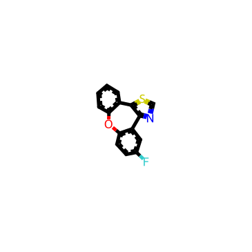 Fc1ccc2c(c1)-c1ncsc1-c1ccccc1O2